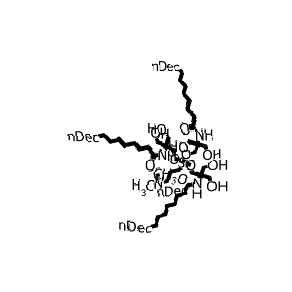 CCCCCCCCCCCCCCCCCC(=O)NC(CO)(CO)CO[Si](CCC[N+](C)(C)CCCCCCCCCC)(OCC(CO)(CO)NC(=O)CCCCCCCCCCCCCCCCC)OCC(CO)(CO)NC(=O)CCCCCCCCCCCCCCCCC